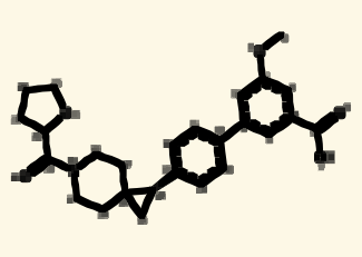 COc1cc(C(=O)O)cc(-c2ccc([C@H]3CC34CCN(C(=O)C3CCCO3)CC4)cc2)c1